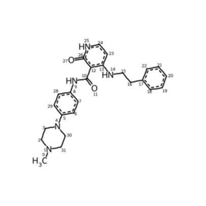 CN1CCN(c2ccc(NC(=O)c3c(NCCc4ccccc4)cc[nH]c3=O)cc2)CC1